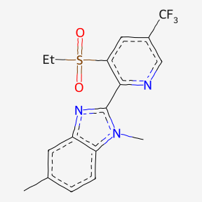 CCS(=O)(=O)c1cc(C(F)(F)F)cnc1-c1nc2cc(C)ccc2n1C